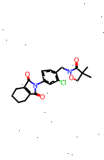 CC1(C)CON(Cc2ccc(N3C(=O)C4=C(CCCC4)C3=O)cc2Cl)C1=O